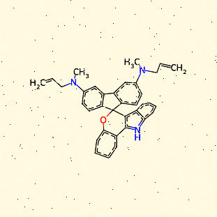 C=CCN(C)c1ccc2c(c1)-c1cc(N(C)CC=C)ccc1C21Oc2ccccc2-c2[nH]c3ccccc3c21